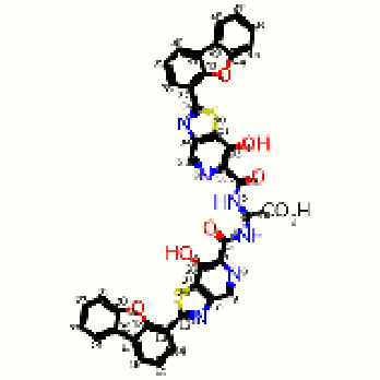 O=C(NC(NC(=O)c1ncc2nc(-c3cccc4c3oc3ccccc34)sc2c1O)C(=O)O)c1ncc2nc(-c3cccc4c3oc3ccccc34)sc2c1O